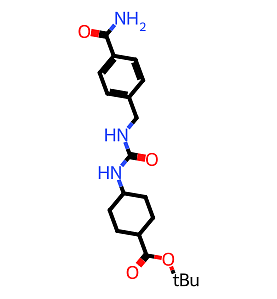 CC(C)(C)OC(=O)C1CCC(NC(=O)NCc2ccc(C(N)=O)cc2)CC1